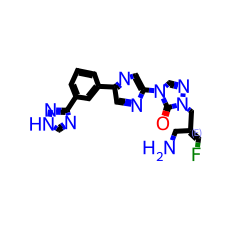 NC/C(=C\F)Cn1ncn(-c2cnc(-c3cccc(-c4nc[nH]n4)c3)cn2)c1=O